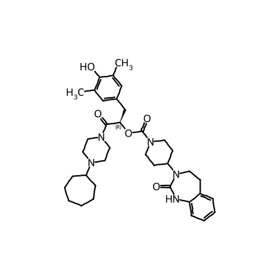 Cc1cc(C[C@@H](OC(=O)N2CCC(N3CCc4ccccc4NC3=O)CC2)C(=O)N2CCN(C3CCCCCC3)CC2)cc(C)c1O